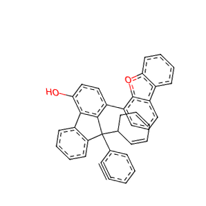 Oc1ccc(-c2cccc3c2oc2ccccc23)c2c1-c1ccccc1C2(c1c#cccc1)C1C=CC=CC1